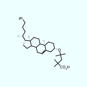 CC(C)CCC[C@@H](C)[C@H]1CCC2C3CC=C4C[C@@H](OC(C)(C)CC(C)(C)C(=O)O)CC[C@]4(C)C3CC[C@@]21C